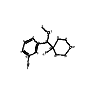 COC(c1ccc[n+]([O-])c1)C1(F)CCOCC1